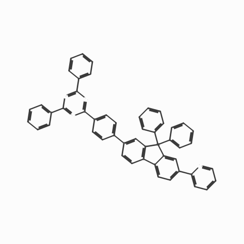 c1ccc(-c2nc(-c3ccccc3)nc(-c3ccc(-c4ccc5c(c4)C(c4ccccc4)(c4ccccc4)c4cc(-c6ccccn6)ccc4-5)cc3)n2)cc1